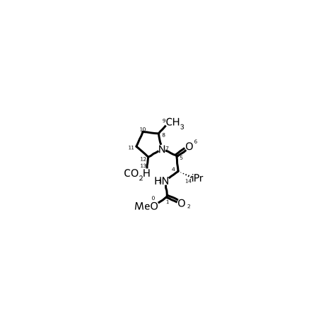 COC(=O)N[C@H](C(=O)N1C(C)CCC1C(=O)O)C(C)C